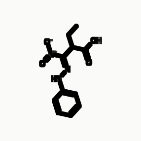 CCC(C(=O)O)C(=NNc1ccccc1)[N+](=O)[O-]